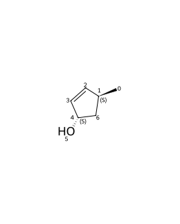 C[C@@H]1C=C[C@@H](O)C1